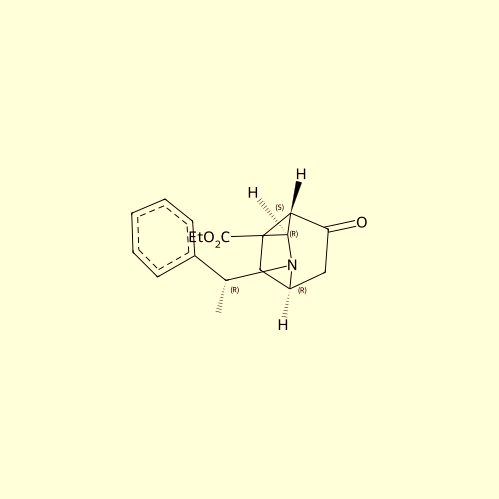 CCOC(=O)[C@H]1[C@@H]2CC[C@H](CC2=O)N1[C@H](C)c1ccccc1